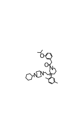 Cc1ccc(C)c([C@@]2(CCN3CCN(C4CCCCC4)CC3)CCCN(C(=O)Cc3cccc(OC(C)C)c3)C2)c1